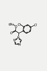 CC(C)(C)OC(=O)C(c1ccc(Cl)cc1Cl)n1cncn1